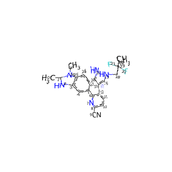 CC1Nc2cc(-c3nc(C#N)ccc3/C(C=N)=C/NCC(C)(F)F)ccc2N1C